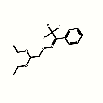 CCOC(CON=C(c1ccccc1)C(F)(F)F)OCC